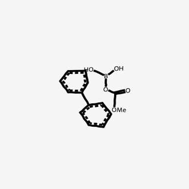 COC(=O)OB(O)O.c1ccc(-c2ccccc2)cc1